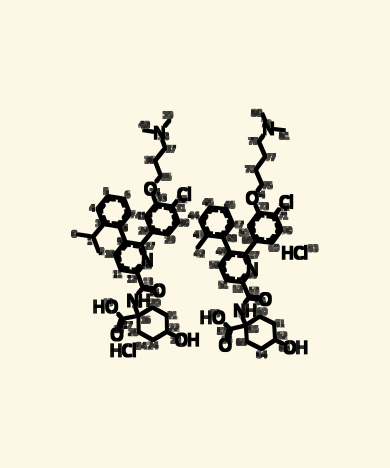 CC(C)c1ccccc1-c1ccc(C(=O)NC2(C(=O)O)CCC(O)CC2)nc1-c1ccc(Cl)c(OCCCN(C)C)c1.Cc1ccccc1-c1ccc(C(=O)NC2(C(=O)O)CCC(O)CC2)nc1-c1ccc(Cl)c(OCCCCN(C)C)c1.Cl.Cl